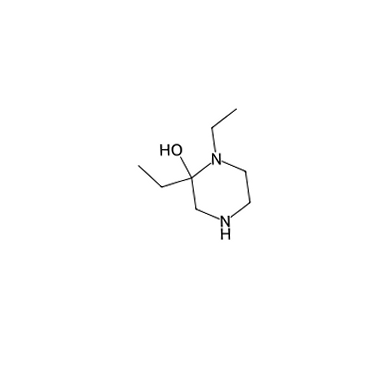 CCN1CCNCC1(O)CC